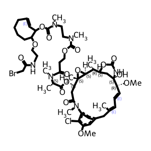 COc1cc2cc(c1Cl)N(C)C(=O)C[C@H](OC(=O)[C@H](C)N(C)C(=O)CCOC(=O)N(C)CCN(C)C(=O)OC1/C=C/CCCCC1OCCNC(=O)CBr)[C@]1(C)O[C@H]1[C@H](C)[C@@H]1C[C@@](O)(NC(=O)O1)[C@H](OC)/C=C/C=C(\C)C2